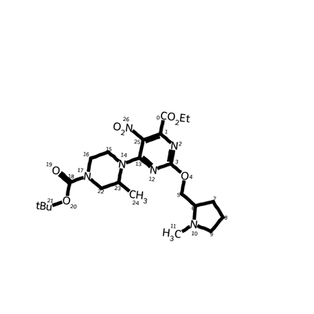 CCOC(=O)c1nc(OCC2CCCN2C)nc(N2CCN(C(=O)OC(C)(C)C)CC2C)c1[N+](=O)[O-]